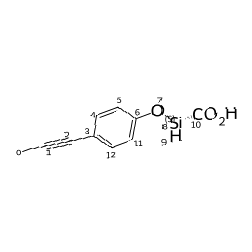 CC#Cc1ccc(O[Si@@H](C)C(=O)O)cc1